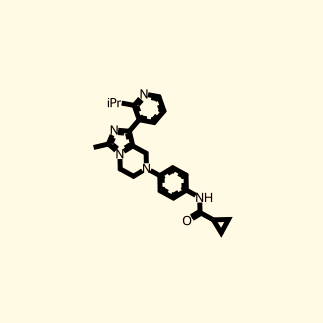 Cc1nc(-c2cccnc2C(C)C)c2n1CCN(c1ccc(NC(=O)C3CC3)cc1)C2